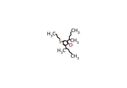 CCCCSc1cc(C(C)CCCC)c([O])c(C(C)CCCC)c1